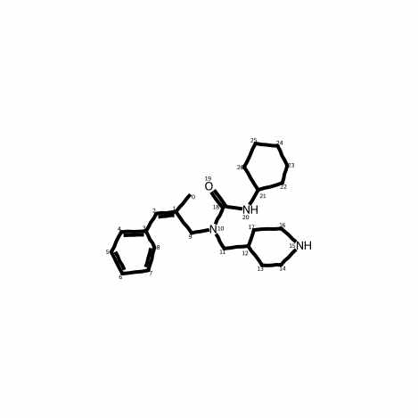 CC(=Cc1ccccc1)CN(CC1CCNCC1)C(=O)NC1CCCCC1